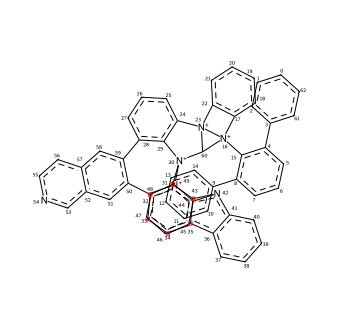 c1ccc(-c2cccc(-c3ccccc3)c2[N+]23c4ccccc4[N+]24c2cccc5c2[N+]2(c6c(ccc7c8ccccc8n(c67)-c6cccc[n+]62)-c2cc6cnccc6cc2-5)C43)cc1